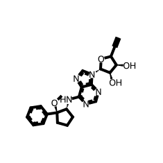 C#CC1O[C@@H](n2cnc3c(N[C@@H]4CCC[C@]4(OC)c4ccccc4)ncnc32)[C@H](O)[C@@H]1O